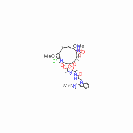 CNN(C)Cc1cc2ccccc2n1CCC(=O)NC(C)C(=O)N(C)[C@@H](C)C(=O)O[C@H]1CC(=O)N(C)c2cc(cc(OC)c2Cl)C/C(C)=C/C=C/[C@@H](OC)[C@@]2(O)C[C@H](OC(=O)N2)[C@@H](C)C2O[C@]21C